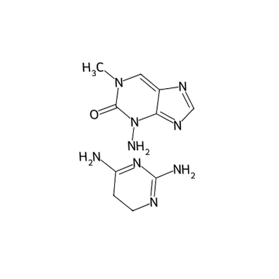 Cn1cc2ncnc-2n(N)c1=O.NC1=NC(N)=NCC1